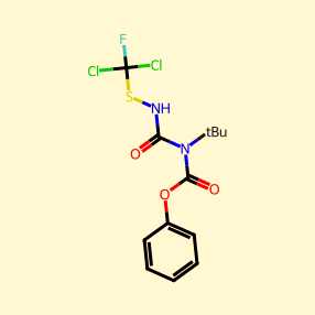 CC(C)(C)N(C(=O)NSC(F)(Cl)Cl)C(=O)Oc1ccccc1